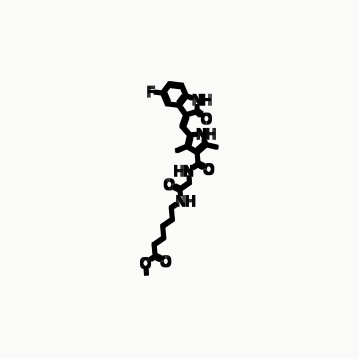 COC(=O)CCCCCNC(=O)CNC(=O)c1c(C)[nH]c(/C=C2\C(=O)Nc3ccc(F)cc32)c1C